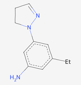 CCc1cc(N)cc(N2CCC=N2)c1